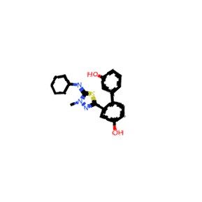 Cn1nc(-c2cc(O)ccc2-c2cccc(O)c2)sc1=NC1CCCCC1